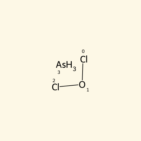 ClOCl.[AsH3]